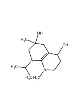 CC(C)N1CC(C)(O)CC2=C1N(C)CCC2O